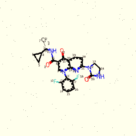 O=C(N[C@H](C1CC1)C(F)(F)F)c1cn(-c2c(F)cccc2F)c2nc(N3CCNC3=O)ccc2c1=O